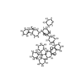 c1ccc(-c2cc(-c3ccc4c(c3)sc3ccccc34)nc(-c3ccc(-c4cccc5c4Oc4c(ccc6c4-c4ccccc4C6(c4ccccc4)c4ccccc4)O5)cc3)n2)cc1